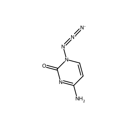 [N-]=[N+]=Nn1ccc(N)nc1=O